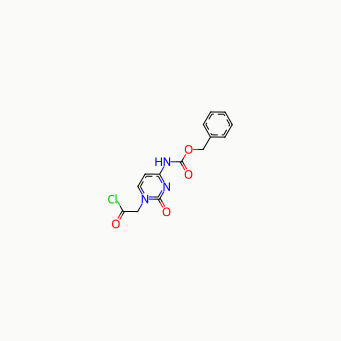 O=C(Cl)Cn1ccc(NC(=O)OCc2ccccc2)nc1=O